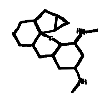 CNC1CC2CC3CCCC4CC5CC5C34CC2C(NC)C1